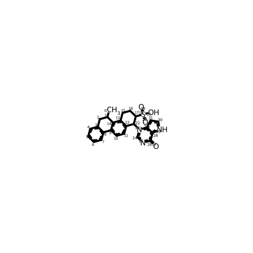 CC1Cc2ccccc2-c2ccc3c(c21)CCC(S(=O)(=O)O)C3n1cnc(=O)c2[nH]ccc21